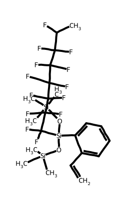 C=Cc1ccccc1[Si](O[Si](C)(C)C)(O[Si](C)(C)C)C(F)(F)C(F)(F)C(F)(F)C(F)(F)C(F)(F)C(F)(F)C(C)F